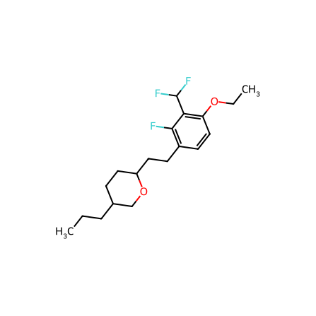 CCCC1CCC(CCc2ccc(OCC)c(C(F)F)c2F)OC1